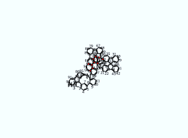 CC12c3cccc(c3)-c3ccccc3N(c3ccc(N(c4ccc5c(c4)C(c4ccccc4)(c4ccccc4)c4ccccc4-5)c4ccccc4-c4ccccc4)c(-c4ccc5c(c4)C4(c6ccccc6-c6ccccc64)c4ccccc4-5)c3)c3ccc(c1c3)-c1ccccc12